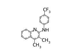 Cc1c(Nc2ccc(C(F)(F)F)cc2)nc2ccccc2c1C